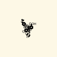 COc1cc2c(cc1Cl)C(CCCN1CCN(C)CC1)(c1cc(C(=O)O)ccc1F)C(=O)N2S(=O)(=O)c1ccc(OC(C)C)cc1